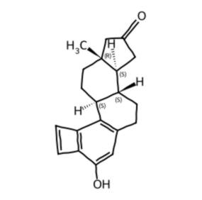 C[C@]12CC[C@@H]3c4c(cc(O)c5c4C=C5)CC[C@H]3[C@@H]1CC(=O)C2